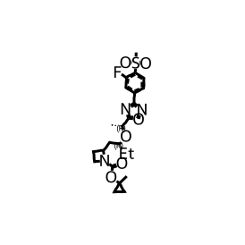 CC[C@H](CC1CCN1C(=O)OC1(C)CC1)O[C@H](C)c1nc(-c2ccc(S(C)(=O)=O)c(F)c2)no1